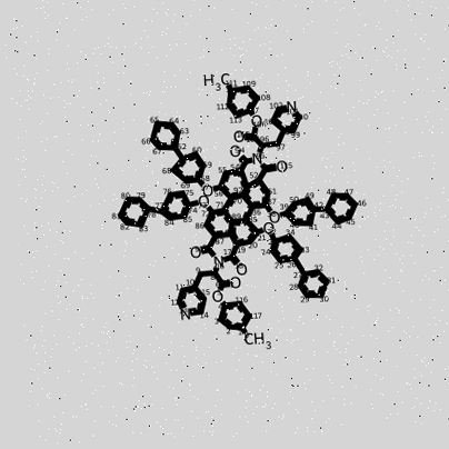 Cc1ccc(OC(=O)C(Cc2ccncc2)N2C(=O)c3cc(Oc4ccc(-c5ccccc5)cc4)c4c5c(Oc6ccc(-c7ccccc7)cc6)cc6c7c(cc(Oc8ccc(-c9ccccc9)cc8)c(c8c(Oc9ccc(-c%10ccccc%10)cc9)cc(c3c48)C2=O)c75)C(=O)N(C(Cc2ccncc2)C(=O)Oc2ccc(C)cc2)C6=O)cc1